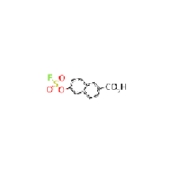 O=C(O)c1ccc2cc(OS(=O)(=O)F)ccc2c1